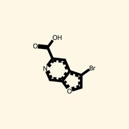 O=C(O)c1cc2c(Br)coc2cn1